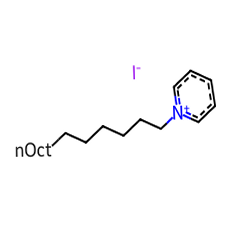 CCCCCCCCCCCCCC[n+]1ccccc1.[I-]